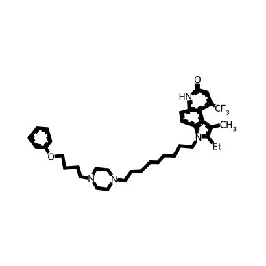 CCc1c(C)c2c3c(C(F)(F)F)cc(=O)[nH]c3ccc2n1CCCCCCCCCN1CCN(CCCCOc2ccccc2)CC1